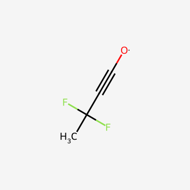 CC(F)(F)C#C[O]